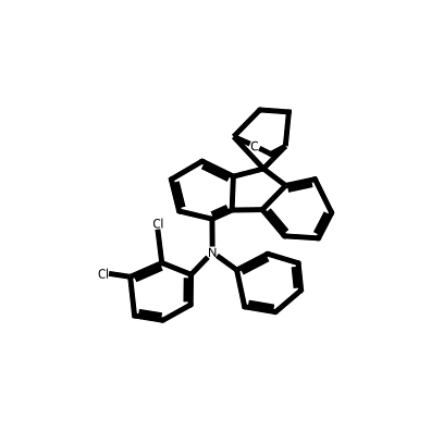 Clc1cccc(N(c2ccccc2)c2cccc3c2-c2ccccc2C32C3CCC2CC3)c1Cl